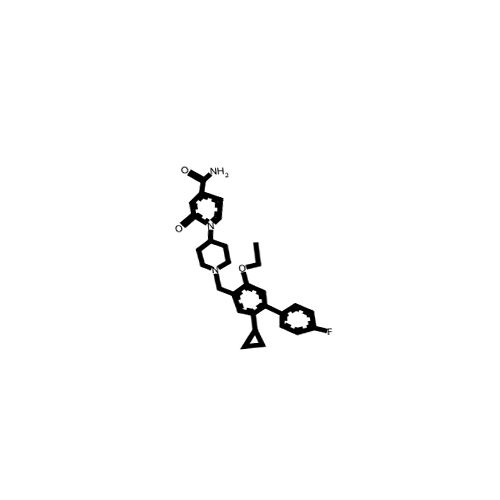 CCOc1cc(-c2ccc(F)cc2)c(C2CC2)cc1CN1CCC(n2ccc(C(N)=O)cc2=O)CC1